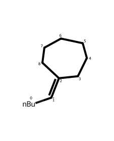 CCCC[C]=C1CCCCCC1